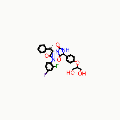 C[C@@H](c1ccccc1)[C@@H](C(=O)Nc1ccc(I)cc1F)N1C(=O)NC(c2ccc(OC(CO)CO)cc2)C1=O